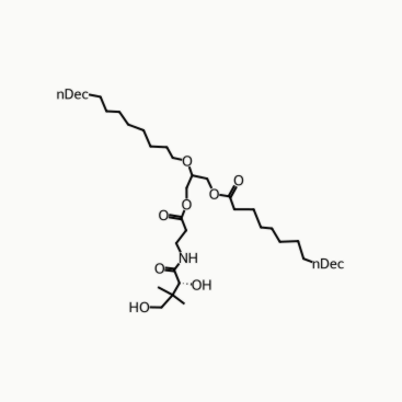 CCCCCCCCCCCCCCCCCCOC(COC(=O)CCCCCCCCCCCCCCCCC)COC(=O)CCNC(=O)[C@H](O)C(C)(C)CO